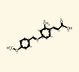 COc1ccc(C=Nc2ccc(C=CC(=O)O)c(C)c2)cc1